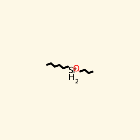 CCCCCC[SiH2]OCCCC